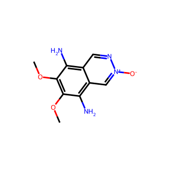 COc1c(OC)c(N)c2c[n+]([O-])ncc2c1N